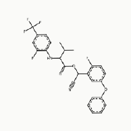 CC(C)C(Nc1ccc(C(F)(F)F)cc1F)C(=O)OC(C#N)c1cc(Oc2ccccc2)ccc1F